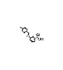 Cc1ccc(COc2cccc(B(O)O)c2)cc1